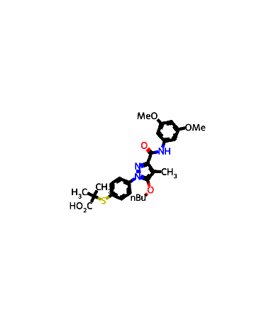 CCCCOc1c(C)c(C(=O)Nc2cc(OC)cc(OC)c2)nn1-c1ccc(SC(C)(C)C(=O)O)cc1